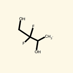 [CH2]C(O)C(F)(F)CO